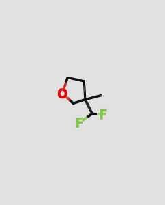 CC1(C(F)F)CCOC1